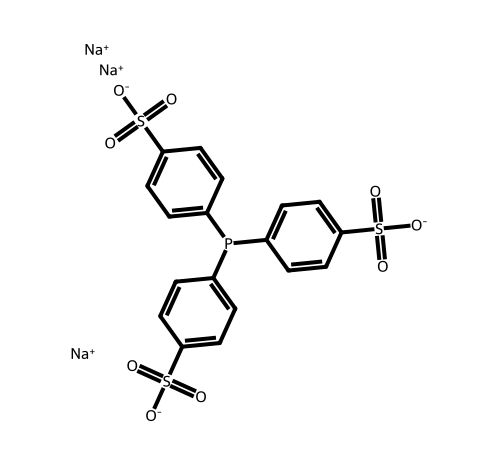 O=S(=O)([O-])c1ccc(P(c2ccc(S(=O)(=O)[O-])cc2)c2ccc(S(=O)(=O)[O-])cc2)cc1.[Na+].[Na+].[Na+]